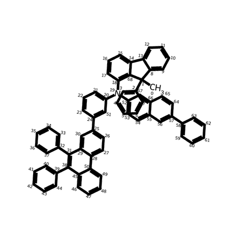 CC1(c2ccccc2)c2ccccc2-c2cccc(N(c3cccc(-c4ccc5c(c4)c(-c4ccccc4)c(-c4ccccc4)c4ccccc45)c3)c3ccc4cc(-c5ccccc5)ccc4c3)c21